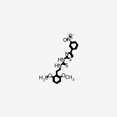 COc1cccc(OC)c1CCNC(=S)Nc1nc(-c2cccc([N+](=O)[O-])c2)cs1